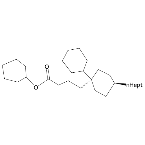 CCCCCCC[C@H]1CC[C@@](CCCC(=O)OC2CCCCC2)(C2CCCCC2)CC1